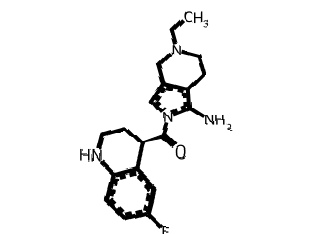 CCN1CCc2c(cn(C(=O)[C@@H]3CCNc4ccc(F)cc43)c2N)C1